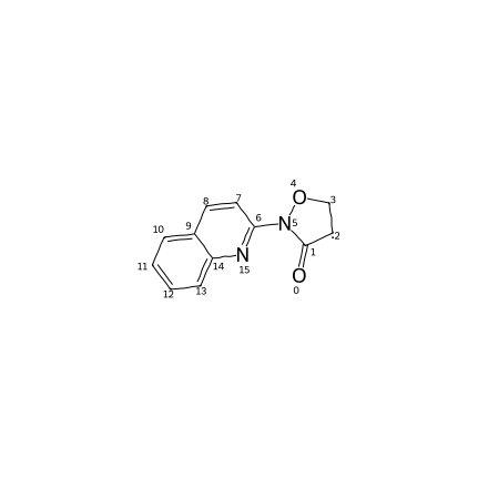 O=C1[CH]CON1c1ccc2ccccc2n1